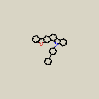 c1ccc(-c2ccc(-n3c4ccccc4c4ccc5cc6c(cc5c43)oc3ccccc36)cc2)cc1